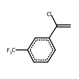 C=C(Cl)c1cccc(C(F)(F)F)c1